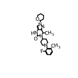 Cc1cccc(F)c1N1CCC(N2C(=O)Nc3cn(C4CCCCO4)nc3C2C)CC1